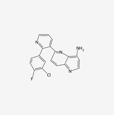 Nc1ccnc2ccc(-c3cccnc3-c3ccc(F)c(Cl)c3)nc12